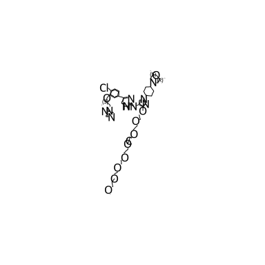 COCCOCCOCCOCCOCCOCCOCCOc1nn([C@H]2CC[C@H](N3C[C@@H](C)O[C@@H](C)C3)CC2)cc1Nc1ncc(-c2ccc(Cl)c(O[C@@H](C)Cn3cncn3)c2)cn1